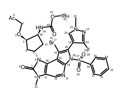 CC(=O)CO[C@@H]1C[C@@H](n2c(=O)n(C)c3cnc4c(c(Br)c(-c5cn(C)nc5F)n4S(=O)(=O)c4ccccc4)c32)C[C@@H]1NC(=O)OC(C)(C)C